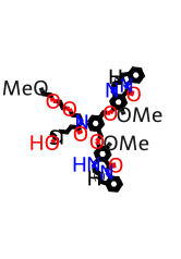 COCCOCCOCCN(C(=O)CCC[Si](C)(C)O)c1cc(COc2cc3c(cc2OC)C(=O)N2c4ccccc4C[C@H]2C=N3)cc(COc2cc3c(cc2OC)C(=O)N2c4ccccc4C[C@H]2CN3)c1